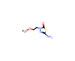 COCCn1nc(N)sc1=O